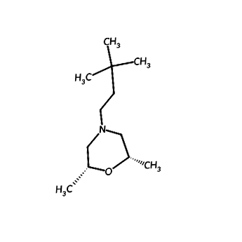 C[C@@H]1CN(CCC(C)(C)C)C[C@H](C)O1